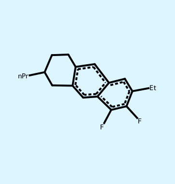 CCCC1CCc2cc3cc(CC)c(F)c(F)c3cc2C1